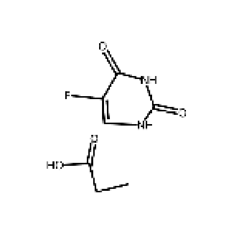 CCC(=O)O.O=c1[nH]cc(F)c(=O)[nH]1